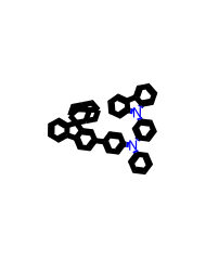 c1ccc(N(c2ccc(-c3ccc4c(c3)C3(c5ccccc5-4)C4CC5CC(C4)CC3C5)cc2)c2cccc(-n3c4ccccc4c4ccccc43)c2)cc1